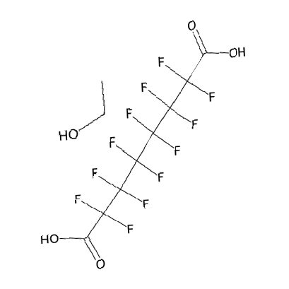 CCO.O=C(O)C(F)(F)C(F)(F)C(F)(F)C(F)(F)C(F)(F)C(F)(F)C(=O)O